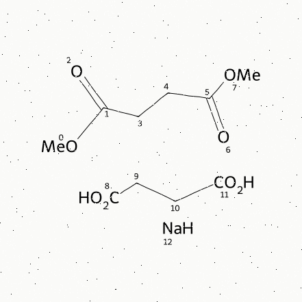 COC(=O)CCC(=O)OC.O=C(O)CCC(=O)O.[NaH]